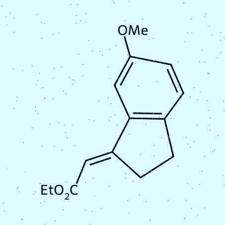 CCOC(=O)C=C1CCc2ccc(OC)cc21